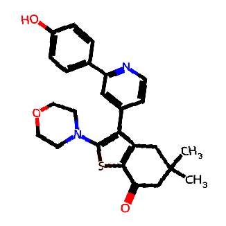 CC1(C)CC(=O)c2sc(N3CCOCC3)c(-c3ccnc(-c4ccc(O)cc4)c3)c2C1